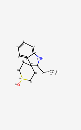 O=C(O)CC1Nc2ccccc2C12CC[S+]([O-])CC2